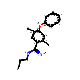 CCCNC(=N)c1cc(C)c(Oc2ccccc2)cc1C